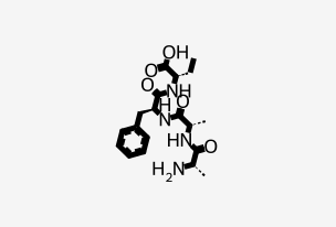 CC[C@H](NC(=O)[C@H](Cc1ccccc1)NC(=O)[C@H](C)NC(=O)[C@H](C)N)C(=O)O